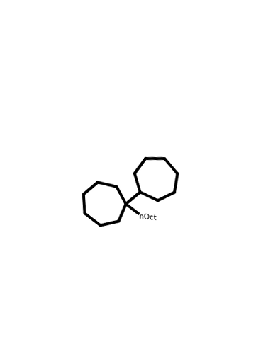 CCCCCCCCC1(C2CCCCCC2)CCCCCC1